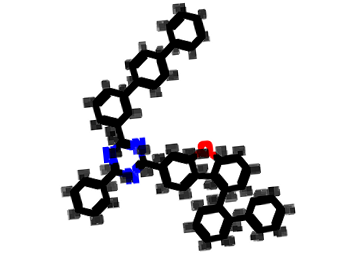 c1ccc(-c2ccc(-c3cccc(-c4nc(-c5ccccc5)nc(-c5ccc6c(c5)oc5cccc(-c7ccccc7-c7ccccc7)c56)n4)c3)cc2)cc1